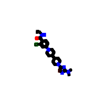 CC(C)NC(=O)c1ccc(N2CCC(C3CCN(c4nc(N(C)C)ns4)CC3)CC2)cc1Cl